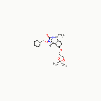 CC1(C)OCC(COc2ccc3c(c2)[C@H]2CN(C(=O)N2OCc2ccccc2)[C@H]3C(=O)O)O1